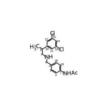 CC(=O)Nc1ccc(CNCC(C)c2cc(Cl)cc(Cl)c2)cc1